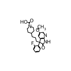 COc1cnc2c(c1)C(CCCC1CCN(C(=O)O)CC1)(c1ccccc1F)C(=O)N2